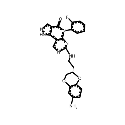 Nc1ccc2c(c1)OC[C@H](CCNc1ncc3c4[nH]ncc4c(=O)n(-c4ccccc4F)c3n1)O2